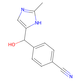 Cc1ncc(C(O)c2ccc(C#N)cc2)[nH]1